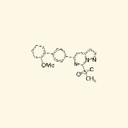 COc1ccccc1-c1ccc(-c2cc3ccnn3c(S(C)(=O)=O)n2)cc1